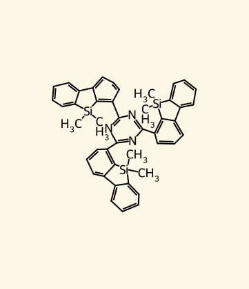 C[Si]1(C)c2ccccc2-c2cccc(-c3nc(-c4cccc5c4[Si](C)(C)c4ccccc4-5)nc(-c4cccc5c4[Si](C)(C)c4ccccc4-5)n3)c21